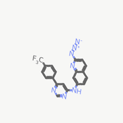 [N-]=[N+]=Nc1ccc2ccc(Nc3cc(-c4ccc(C(F)(F)F)cc4)ncn3)cc2n1